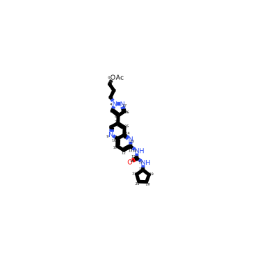 CC(=O)OCCCn1cc(-c2cnc3ccc(NC(=O)NC4CCCC4)nc3c2)cn1